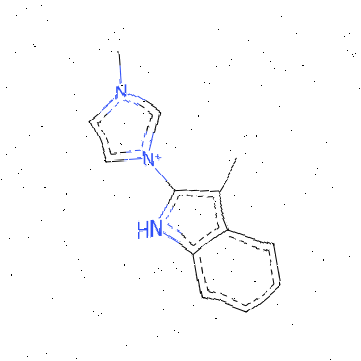 Cc1c(-[n+]2ccn(C)c2)[nH]c2ccccc12